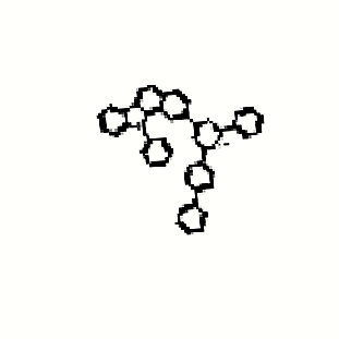 c1ccc(C2=NC(c3ccc4ccc5c6ccccc6n(-c6ccccc6)c5c4c3)=NC(c3ccc(-c4ccccc4)cc3)N2)cc1